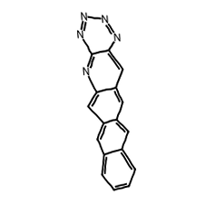 c1ccc2cc3cc4nc5nnnnc5cc4cc3cc2c1